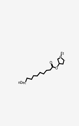 CCCCCCCCCCCCCCCCCCC(=O)OC1C[CH]N(CC)C1